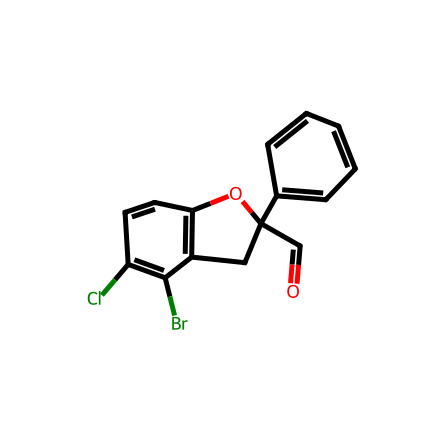 O=CC1(c2ccccc2)Cc2c(ccc(Cl)c2Br)O1